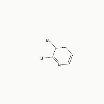 CCC1CC=CN=C1Cl